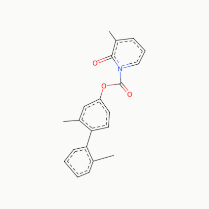 Cc1ccccc1-c1ccc(OC(=O)n2cccc(C)c2=O)cc1C